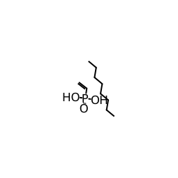 C=CP(=O)(O)O.CCCCCCCC